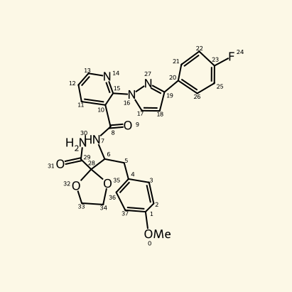 COc1ccc(CC(NC(=O)c2cccnc2-n2ccc(-c3ccc(F)cc3)n2)C2(C(N)=O)OCCO2)cc1